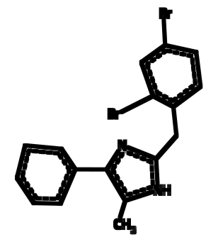 Cc1[nH]c(Cc2ccc(Br)cc2Br)nc1-c1ccccc1